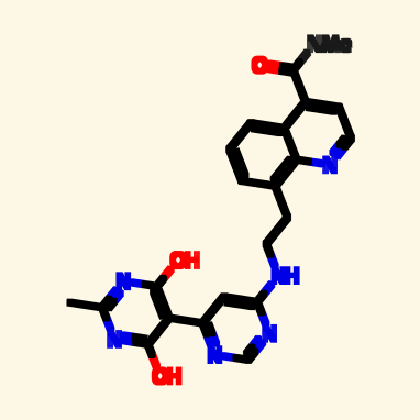 CNC(=O)c1ccnc2c(CCNc3cc(-c4c(O)nc(C)nc4O)ncn3)cccc12